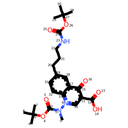 CN(C(=O)OC(C)(C)C)n1cc(C(=O)O)c(=O)c2cc(CCCNC(=O)OC(C)(C)C)ccc21